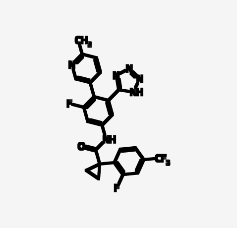 Cc1ccc(-c2c(F)cc(NC(=O)C3(c4ccc(C(F)(F)F)cc4F)CC3)cc2-c2nnn[nH]2)cn1